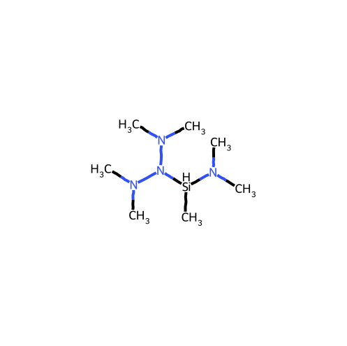 CN(C)N(N(C)C)[SiH](C)N(C)C